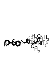 CC(C)(N)CC(N)C(C)(C)C(=O)OCC(CSc1ccc2cc(-c3cccnc3)oc2c1)CC(F)(F)F